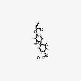 C=CC(=O)Oc1ccc(-c2ccc(OC=O)cc2F)c(F)c1